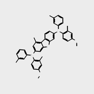 COc1ccc(N(c2cccc(C)c2)c2ccc3c(c2)oc2cc(N(c4cccc(C)c4)c4ccc(OC)cc4C)cc(C)c23)c(C)c1